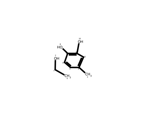 CCO.Cc1ccc(O)c(O)c1